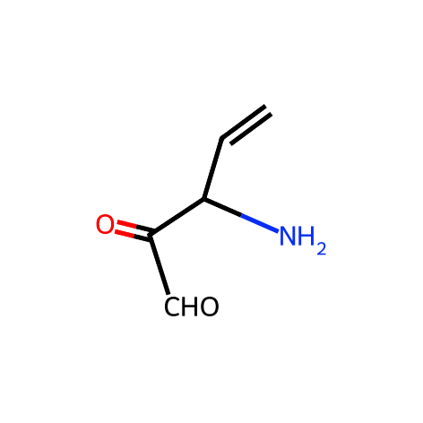 C=CC(N)C(=O)C=O